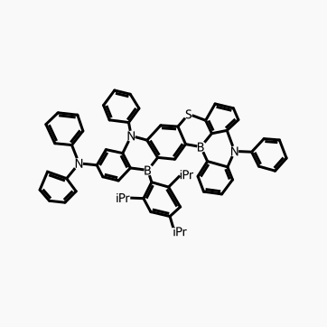 CC(C)c1cc(C(C)C)c(B2c3ccc(N(c4ccccc4)c4ccccc4)cc3N(c3ccccc3)c3cc4c(cc32)B2c3ccccc3N(c3ccccc3)c3cccc(c32)S4)c(C(C)C)c1